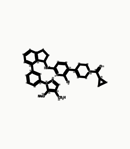 CCc1nc(NC2CCc3cccc(-c4cccc(-n5ncc(C(=O)O)c5OC)c4)c32)ccc1C1=CCN(C(=O)C2CC2)CC1